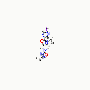 CC(C)c1noc(N2CCC(N(C(=O)c3cnc(I)cn3)C3CC3)CC2)n1